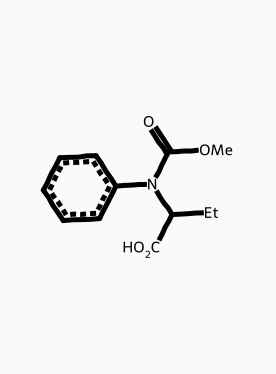 CCC(C(=O)O)N(C(=O)OC)c1ccccc1